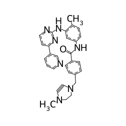 Cc1ccc(NC(=O)c2ccc(CN3C#CN(C)CC3)cc2)cc1Nc1nccc(-c2cccnc2)n1